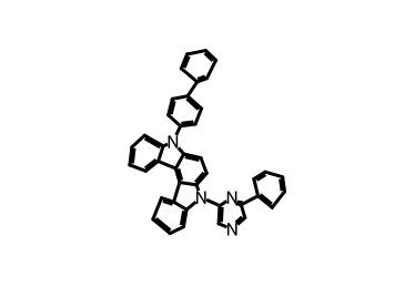 c1ccc(-c2ccc(-n3c4ccccc4c4c5c6ccccc6n(-c6cncc(-c7ccccc7)n6)c5ccc43)cc2)cc1